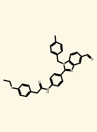 CCSc1ccc(CC(=O)Nc2ccc(-c3nc4cc(C=O)ccc4n3Cc3ccc(C)cc3)cc2)cc1